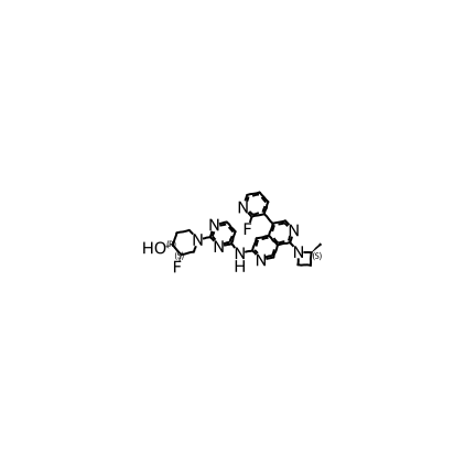 C[C@H]1CCN1c1ncc(-c2cccnc2F)c2cc(Nc3ccnc(N4CC[C@@H](O)[C@@H](F)C4)n3)ncc12